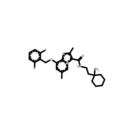 Cc1cc(OCc2c(F)cccc2F)c2nc(C)c(C(=O)NCCC3(N)CCCCC3)n2c1